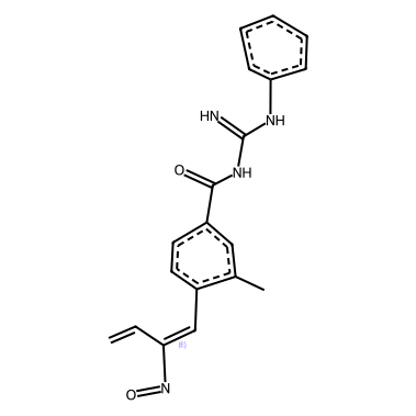 C=C/C(=C\c1ccc(C(=O)NC(=N)Nc2ccccc2)cc1C)N=O